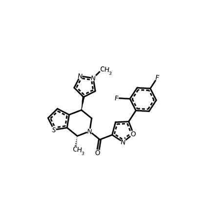 C[C@@H]1c2sccc2[C@@H](c2cnn(C)c2)CN1C(=O)c1cc(-c2ccc(F)cc2F)on1